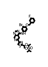 CC(OC(C)S(=O)(=O)C(C)C)c1nc(-c2cc3c(Nc4ccc(OCc5cccc(F)c5)c(Br)c4)ncnc3cn2)cs1